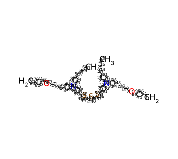 C=Cc1ccc(COCCCCCCc2ccc(N(c3ccc(CCCCCC)cc3)c3ccc(-c4ccc(-c5ccc(-c6ccc(-c7ccc(N(c8ccc(CCCCCC)cc8)c8ccc(CCCCCCOCc9ccc(C=C)cc9)cc8)cc7)s6)s5)s4)cc3)cc2)cc1